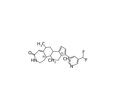 CC1CC2C3=CC=C(c4cncc(C(F)F)c4)[C@@]3(C)CCC2[C@@]2(C)CCNC(=O)C=C12